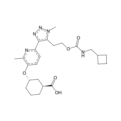 Cc1nc(-c2nnn(C)c2CCOC(=O)NCC2CCC2)ccc1O[C@H]1CCC[C@H](C(=O)O)C1